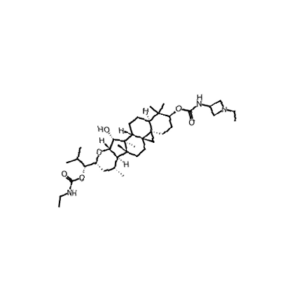 CCNC(=O)O[C@H](C(C)C)[C@H]1C[C@@H](C)[C@H]2[C@H](O1)[C@H](O)[C@@]1(C)[C@@H]3CC[C@H]4C(C)(C)[C@@H](OC(=O)NC5CN(CC)C5)CC[C@@]45C[C@@]35CC[C@]21C